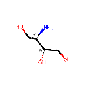 N[C@H](CO)[C@@H](O)CO